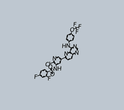 O=S(=O)(Nc1cc(-c2ccc3ncnc(Nc4ccc(OC(F)(F)F)cc4)c3n2)cnc1Cl)c1ccc(F)cc1F